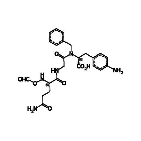 NC(=O)CC[C@H](NOC=O)C(=O)NCC(=O)N(Cc1ccccc1)[C@@H](Cc1ccc(N)cc1)C(=O)O